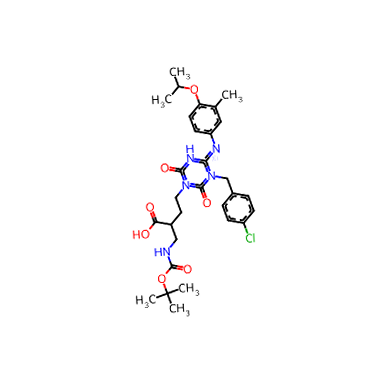 Cc1cc(/N=c2\[nH]c(=O)n(CCC(CNC(=O)OC(C)(C)C)C(=O)O)c(=O)n2Cc2ccc(Cl)cc2)ccc1OC(C)C